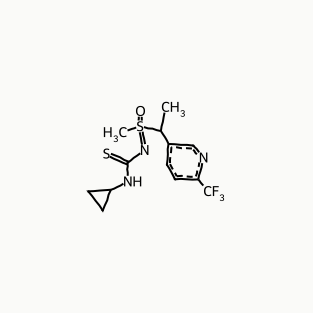 CC(c1ccc(C(F)(F)F)nc1)S(C)(=O)=NC(=S)NC1CC1